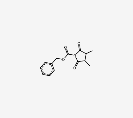 CC1C(=O)N(C(=O)OCc2ccccc2)C(=O)C1C